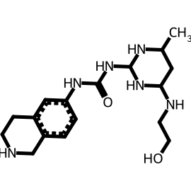 CC1CC(NCCO)NC(NC(=O)Nc2ccc3c(c2)CCNC3)N1